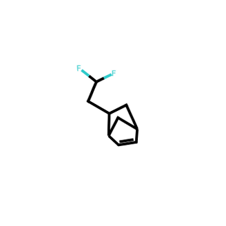 FC(F)CC1CC2C=CC1C2